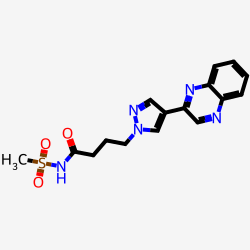 CS(=O)(=O)NC(=O)CCCn1cc(-c2cnc3ccccc3n2)cn1